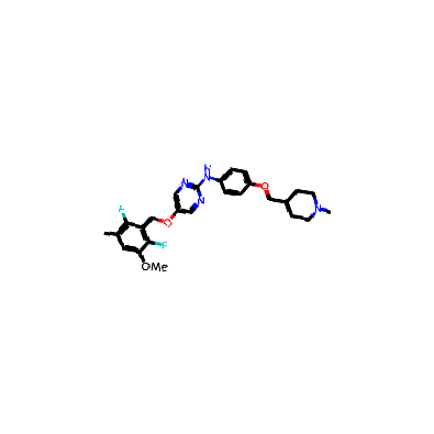 COc1cc(C)c(F)c(COc2cnc(Nc3ccc(OCC4CCN(C)CC4)cc3)nc2)c1F